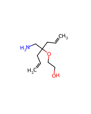 C=CCC(CN)(CC=C)OCCO